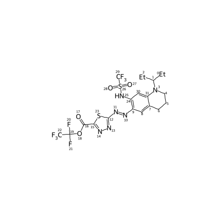 CCC(CC)N1CCCc2cc(N=Nc3nnc(C(=O)OC(F)(F)C(F)(F)F)s3)c(NS(=O)(=O)C(F)(F)F)cc21